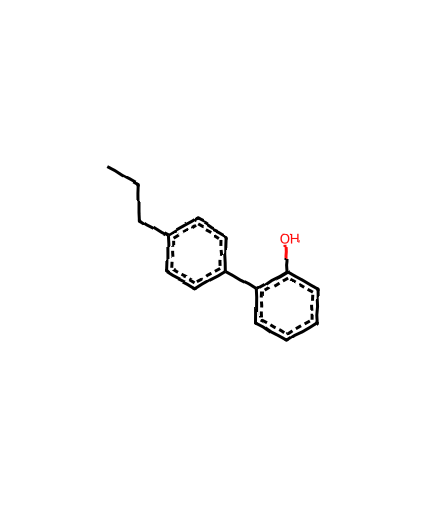 CCCc1ccc(-c2ccccc2O)cc1